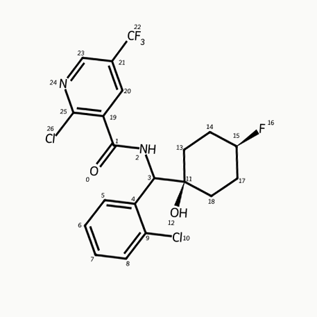 O=C(NC(c1ccccc1Cl)[C@]1(O)CC[C@@H](F)CC1)c1cc(C(F)(F)F)cnc1Cl